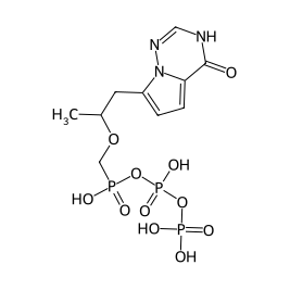 CC(Cc1ccc2c(=O)[nH]cnn12)OCP(=O)(O)OP(=O)(O)OP(=O)(O)O